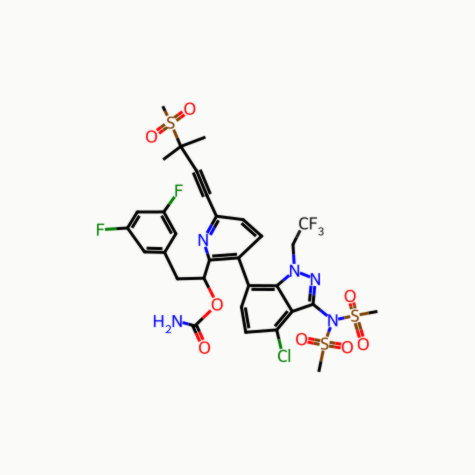 CC(C)(C#Cc1ccc(-c2ccc(Cl)c3c(N(S(C)(=O)=O)S(C)(=O)=O)nn(CC(F)(F)F)c23)c(C(Cc2cc(F)cc(F)c2)OC(N)=O)n1)S(C)(=O)=O